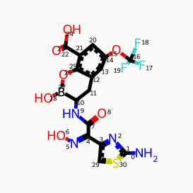 Nc1nc(C(=NO)C(=O)NC2Cc3cc(OC(F)(F)F)cc(C(=O)O)c3OB2O)cs1